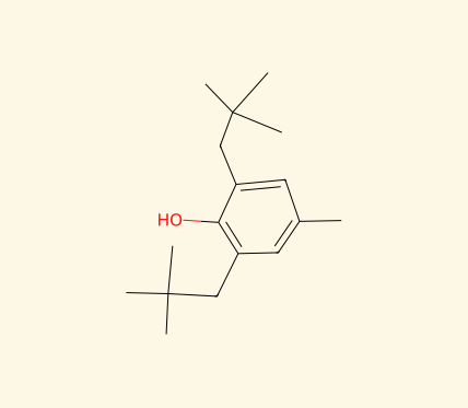 Cc1cc(CC(C)(C)C)c(O)c(CC(C)(C)C)c1